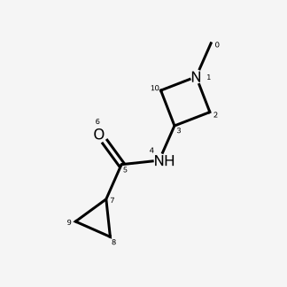 CN1CC(NC(=O)C2CC2)C1